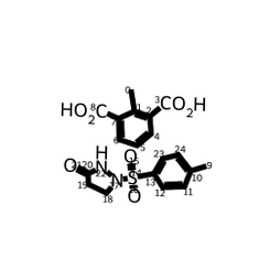 Cc1c(C(=O)O)cccc1C(=O)O.Cc1ccc(S(=O)(=O)N2CCC(=O)N2)cc1